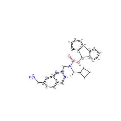 CC(C1CCC1)N(Cc1ncc2ccc(CN)cc2n1)C(=O)OC1c2ccccc2-c2ccccc21